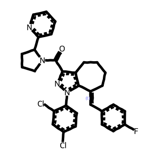 O=C(c1nn(-c2ccc(Cl)cc2Cl)c2c1CCCC/C2=C\c1ccc(F)cc1)N1CCCC1c1ccccn1